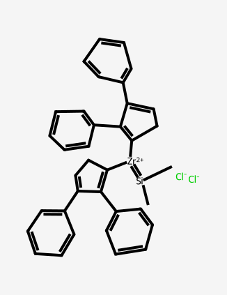 C[Si](C)=[Zr+2]([C]1=C(c2ccccc2)C(c2ccccc2)=CC1)[C]1=C(c2ccccc2)C(c2ccccc2)=CC1.[Cl-].[Cl-]